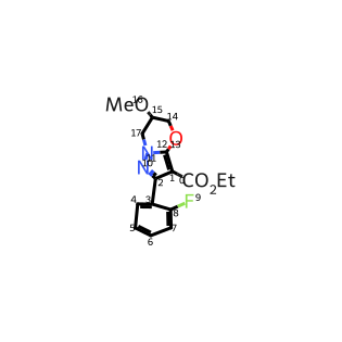 CCOC(=O)c1c(-c2ccccc2F)nn2c1OCC(OC)C2